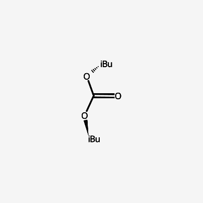 C[CH][C@H](C)OC(=O)O[C@@H](C)CC